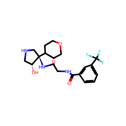 O=C(CNC(=O)c1cccc(C(F)(F)F)c1)N[C@]1(C2CCOCC2)CNC[C@H]1O